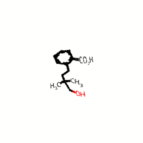 CC(C)(CO)CCc1ccccc1C(=O)O